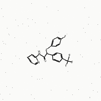 O=C(Nc1ccccn1)C(Sc1ccc(F)cc1)c1ccc(C(F)(F)F)cc1